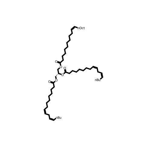 CCCC/C=C\C/C=C\CCCCCCCC(=O)OC[C@H](COC(=O)CCCCCCCCC/C=C\CCCCCCCC)OC(=O)CCCCCCC/C=C\C/C=C\CCCC